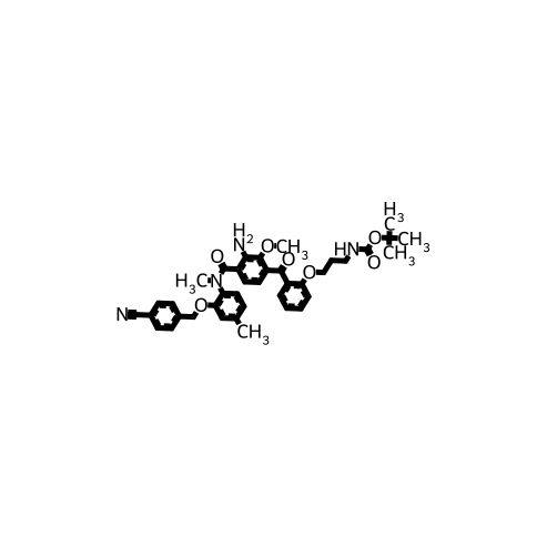 COc1c(C(=O)c2ccccc2OCCCNC(=O)OC(C)(C)C)ccc(C(=O)N(C)c2ccc(C)cc2OCc2ccc(C#N)cc2)c1N